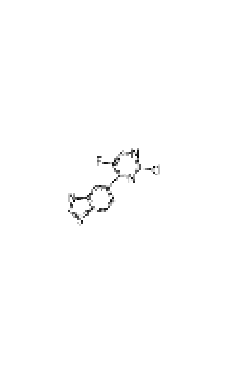 Fc1cnc(Cl)nc1-c1ccc2scnc2c1